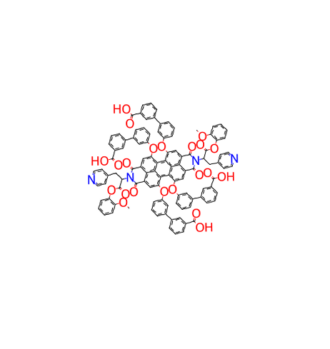 COc1ccccc1OC(=O)C(Cc1ccncc1)N1C(=O)c2cc(Oc3cccc(-c4cccc(C(=O)O)c4)c3)c3c4c(Oc5cccc(-c6cccc(C(=O)O)c6)c5)cc5c6c(cc(Oc7cccc(-c8cccc(C(=O)O)c8)c7)c(c7c(Oc8cccc(-c9cccc(C(=O)O)c9)c8)cc(c2c37)C1=O)c64)C(=O)N(C(Cc1ccncc1)C(=O)Oc1ccccc1OC)C5=O